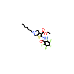 CCCCCCCN1CCc2c(sc(NC(=O)c3c(F)c(F)c(F)c(F)c3F)c2C(=O)OCC)C1